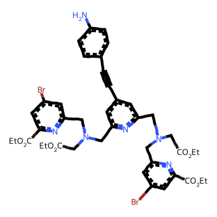 CCOC(=O)CN(Cc1cc(C#Cc2ccc(N)cc2)cc(CN(CC(=O)OCC)Cc2cc(Br)cc(C(=O)OCC)n2)n1)Cc1cc(Br)cc(C(=O)OCC)n1